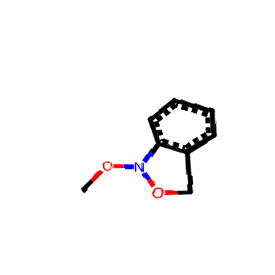 CON1OCc2ccccc21